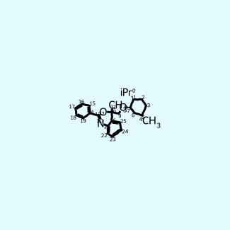 CC(C)[C@@H]1CC[C@@H](C)C[C@H]1OCC1(C)OC(c2ccccc2)=Nc2ccccc21